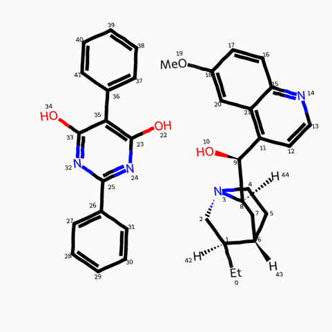 CC[C@H]1C[N@]2CC[C@H]1C[C@@H]2[C@@H](O)c1ccnc2ccc(OC)cc12.Oc1nc(-c2ccccc2)nc(O)c1-c1ccccc1